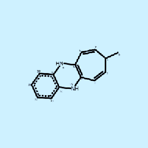 CC1C=CC2=C(C=C1)Nc1ccccc1N2